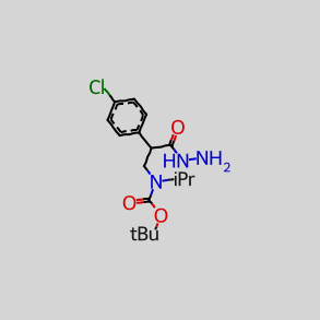 CC(C)N(CC(C(=O)NN)c1ccc(Cl)cc1)C(=O)OC(C)(C)C